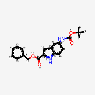 CC(C)(C)OC(=O)Nc1ccc2[nH]c(C(=O)OCc3ccccc3)cc2c1